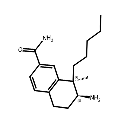 CCCCC[C@]1(C)c2cc(C(N)=O)ccc2CC[C@@H]1N